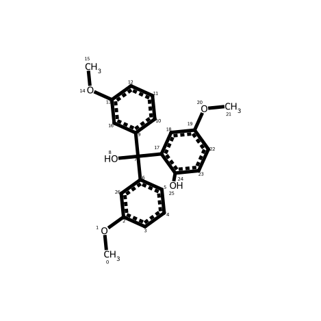 COc1cccc(C(O)(c2cccc(OC)c2)c2cc(OC)ccc2O)c1